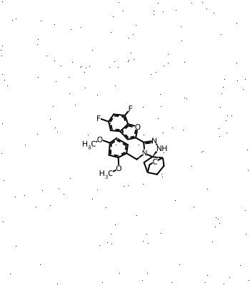 COc1ccc(CN2C(c3cc4cc(F)cc(F)c4o3)=NN[C@@]23CC2CCC3CC2)c(OC)c1